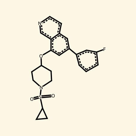 O=S(=O)(C1CC1)N1CCC(Oc2cc(-c3cccc(F)c3)cc3ccncc23)CC1